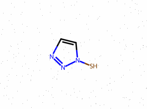 Sn1ccnn1